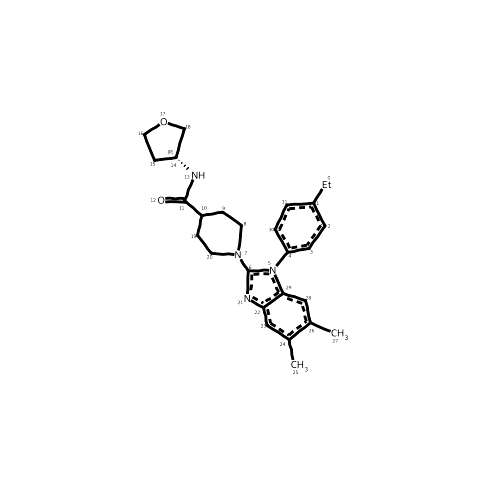 CCc1ccc(-n2c(N3CCC(C(=O)N[C@@H]4CCOC4)CC3)nc3cc(C)c(C)cc32)cc1